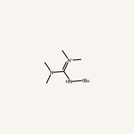 CN(C)C(NC(C)(C)C)=[N+](C)C